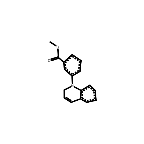 COC(=O)c1cccc(N2CC=Cc3ccccc32)c1